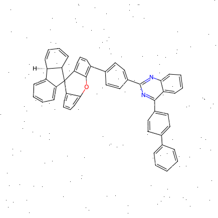 C1=CC2[C@H](C=C1)c1ccccc1C21c2ccccc2Oc2c(-c3ccc(-c4nc(-c5ccc(-c6ccccc6)cc5)c5ccccc5n4)cc3)cccc21